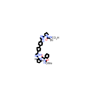 COC(=O)N[C@@H](C(=O)N1[C@@H]2CC[C@@H](C2)[C@H]1c1ncc(-c2ccc(-c3ccc(-c4cnc([C@@H]5CCCN5C(=O)[C@@H](NC(=O)O)C(C)C)[nH]4)cc3)cc2)[nH]1)c1ccccc1